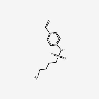 CCCCCS(=O)(=O)Nc1ccc(C=O)cc1